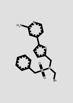 CC(C)CN(Cc1ccc(-c2ccnc(N)c2)s1)S(=O)(=O)Cc1ccccc1